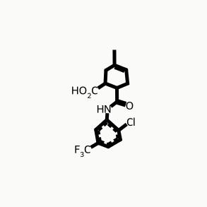 CC1=CCC(C(=O)Nc2cc(C(F)(F)F)ccc2Cl)C(C(=O)O)C1